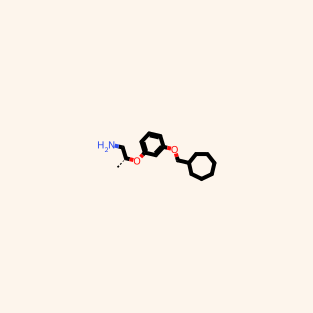 C[C@H](CN)Oc1cccc(OCC2CCCCCC2)c1